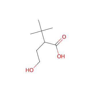 CC(C)(C)C(CCO)C(=O)O